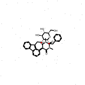 CN1C(=O)C(=c2cccc3c2=C(CN[C@H]2[C@@H](OCc4ccccc4)O[C@H](CO)[C@@H](O)[C@@H]2O)c2ccccc2-3)C(=O)N(C)C1=O